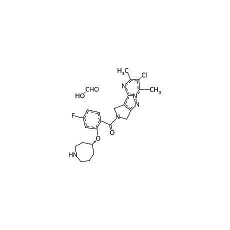 Cc1nc2c3c(nn2c(C)c1Cl)CN(C(=O)c1ccc(F)cc1O[C@H]1CCCNCC1)C3.O=CO